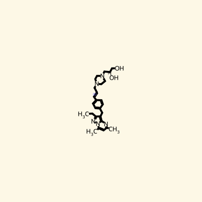 CCc1nn2c(C)cc(C)nc2c1Cc1ccc(/C=C/CN2CCN(C[C@@H](O)CO)CC2)cc1